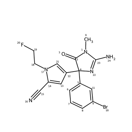 CN1C(=O)C(c2cccc(Br)c2)(c2cc(C#N)n(CCF)c2)N=C1N